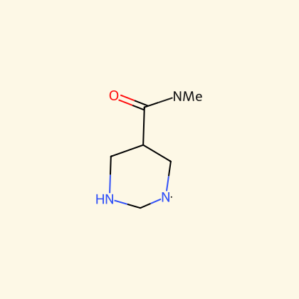 CNC(=O)C1C[N]CNC1